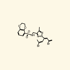 C=C(Br)/C=C(\C=C(/C)Br)n1nc(C)c(CNS(=O)(=O)c2cccc3c2OCCO3)n1